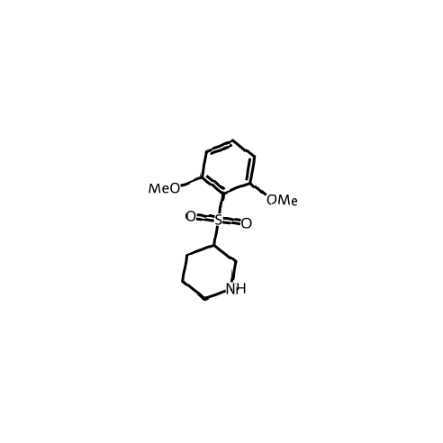 COc1cccc(OC)c1S(=O)(=O)C1CCCNC1